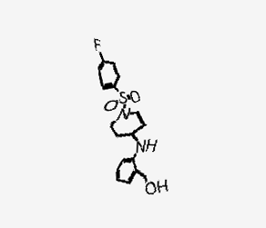 O=S(=O)(c1ccc(F)cc1)N1CCC(Nc2ccccc2CO)CC1